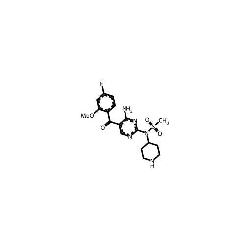 COc1cc(F)ccc1C(=O)c1cnc(N(C2CCNCC2)S(C)(=O)=O)nc1N